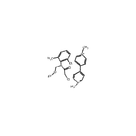 CCOCN(C(=O)CCl)c1c(C)cccc1CC.C[n+]1ccc(-c2cc[n+](C)cc2)cc1